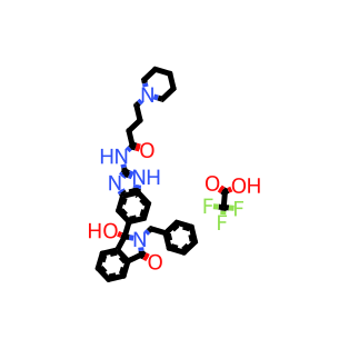 O=C(CCCN1CCCCC1)Nc1nc2cc(C3(O)c4ccccc4C(=O)N3Cc3ccccc3)ccc2[nH]1.O=C(O)C(F)(F)F